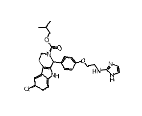 CC(C)COC(=O)N1CCc2c([nH]c3c2=CC(Cl)CC=3)C1c1ccc(OCCNc2ncc[nH]2)cc1